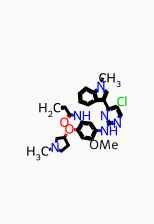 C=CC(=O)Nc1cc(Nc2ncc(Cl)c(-c3cn(C)c4ccccc34)n2)c(OC)cc1OC1CCN(C)C1